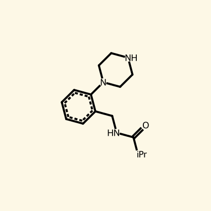 CC(C)C(=O)NCc1ccccc1N1CCNCC1